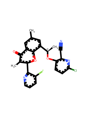 Cc1cc([C@@H](C)Oc2ccc(Cl)nc2C#N)c2oc(-c3ncccc3F)c(C)c(=O)c2c1